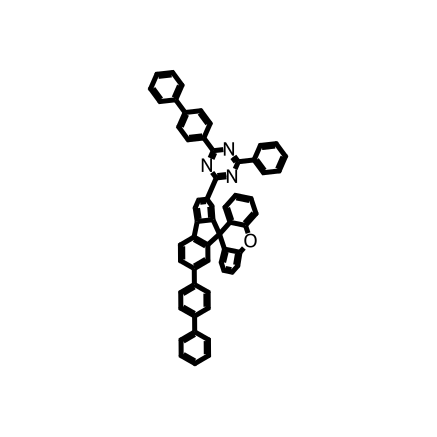 c1ccc(-c2ccc(-c3ccc4c(c3)C3(c5ccccc5Oc5ccccc53)c3cc(-c5nc(-c6ccccc6)nc(-c6ccc(-c7ccccc7)cc6)n5)ccc3-4)cc2)cc1